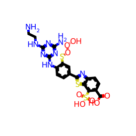 NCCNc1nc(N)nc(Nc2ccc(-c3nc4ccc(C(=O)O)c(S(=O)(=O)O)c4s3)cc2SOOO)n1